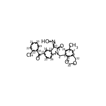 Cc1cc2c(c(CN3C(=O)/C(=N/O)c4cc(C(=O)c5ccccc5Cl)ccc43)c1)OCOC2